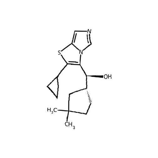 CC1(C)CC[C@@H]([C@H](O)c2c(C3CC3)sc3cncn23)C1